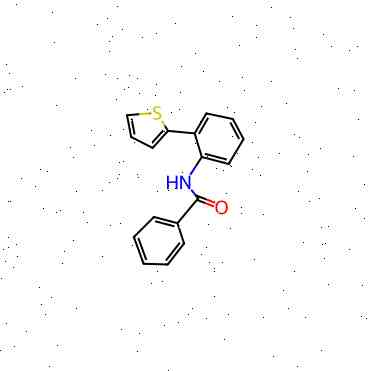 O=C(Nc1ccccc1-c1cccs1)c1ccccc1